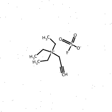 C#CC[N+](CC)(CC)CC.O=S(=O)([O-])F